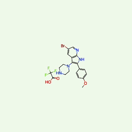 COc1ccc(-c2[nH]c3ncc(Br)cc3c2N2CCNCC2)cc1.O=C(O)C(F)(F)F